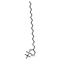 CCCCCCCCCCCCCCCCOCC(CO)O[Si](C)(C)C(C)(C)C